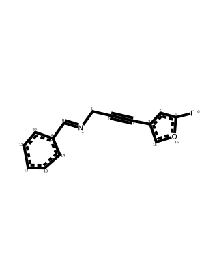 Fc1cc(C#CCN=Cc2ccccc2)co1